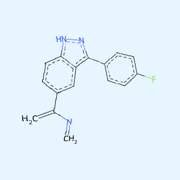 C=NC(=C)c1ccc2[nH]nc(-c3ccc(F)cc3)c2c1